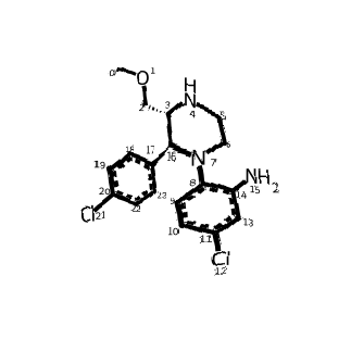 COC[C@@H]1NCCN(c2ccc(Cl)cc2N)[C@H]1c1ccc(Cl)cc1